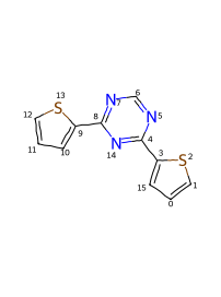 c1csc(-c2ncnc(-c3cccs3)n2)c1